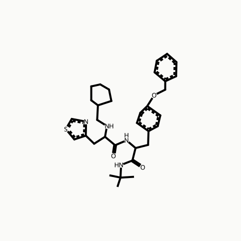 CC(C)(C)NC(=O)C(Cc1ccc(OCc2ccccc2)cc1)NC(=O)C(Cc1cscn1)NCC1CCCCC1